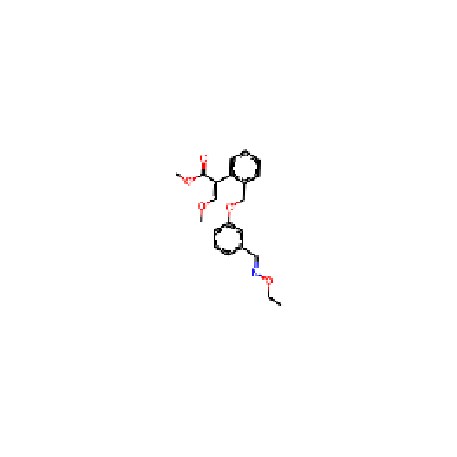 CCON=Cc1cccc(OCc2ccccc2C(=COC)C(=O)OC)c1